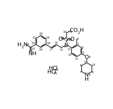 Cc1cc(OC2CCNCC2)ccc1N(C/C=C/c1cccc(C(=N)N)c1)S(=O)(=O)CC(=O)O.Cl.Cl